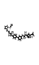 N#CC[C@H]1CCCN1C/C=C/C(=O)Nc1ccc(-c2cccc(CC(=O)Nc3cc(C4CC4)[nH]n3)c2)cn1